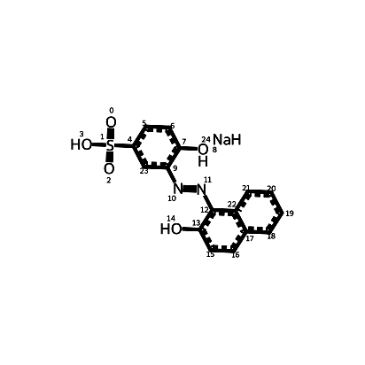 O=S(=O)(O)c1ccc(O)c(N=Nc2c(O)ccc3ccccc23)c1.[NaH]